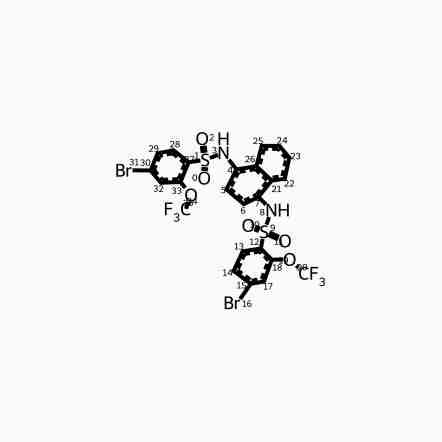 O=S(=O)(Nc1ccc(NS(=O)(=O)c2ccc(Br)cc2OC(F)(F)F)c2ccccc12)c1ccc(Br)cc1OC(F)(F)F